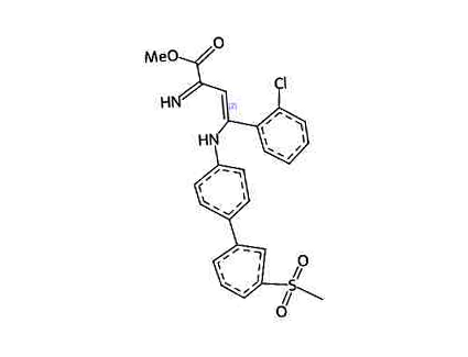 COC(=O)C(=N)/C=C(\Nc1ccc(-c2cccc(S(C)(=O)=O)c2)cc1)c1ccccc1Cl